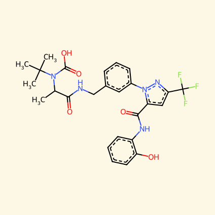 CC(C(=O)NCc1cccc(-n2nc(C(F)(F)F)cc2C(=O)Nc2ccccc2O)c1)N(C(=O)O)C(C)(C)C